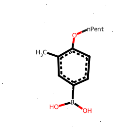 CCCCCOc1ccc(B(O)O)cc1C